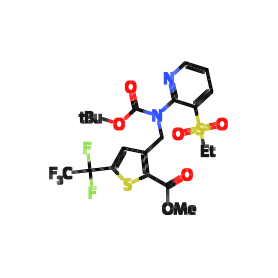 CCS(=O)(=O)c1cccnc1N(Cc1cc(C(F)(F)C(F)(F)F)sc1C(=O)OC)C(=O)OC(C)(C)C